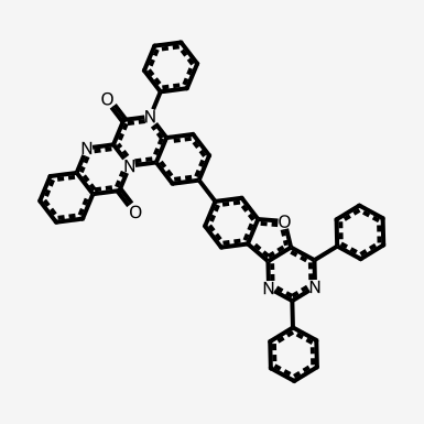 O=c1c2nc3ccccc3c(=O)n2c2cc(-c3ccc4c(c3)oc3c(-c5ccccc5)nc(-c5ccccc5)nc34)ccc2n1-c1ccccc1